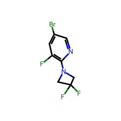 Fc1cc(Br)cnc1N1CC(F)(F)C1